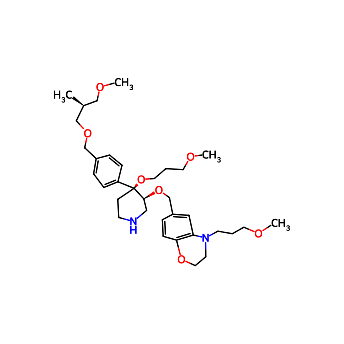 COCCCO[C@]1(c2ccc(COC[C@@H](C)COC)cc2)CCNC[C@@H]1OCc1ccc2c(c1)N(CCCOC)CCO2